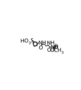 CS(=O)(=O)NC(=O)[C@@H](N)CCC(=O)Nc1cccc(S(=O)(=O)O)c1